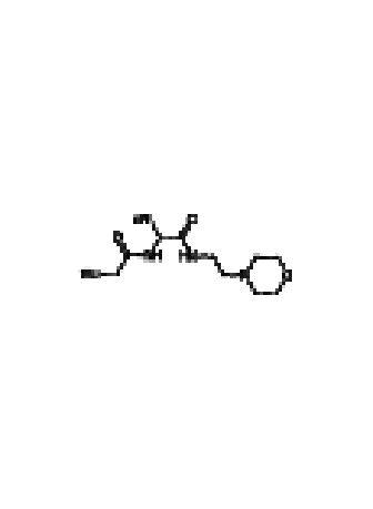 CCCC(NC(=O)CC(C)(C)C)C(=O)NCCN1CCOCC1